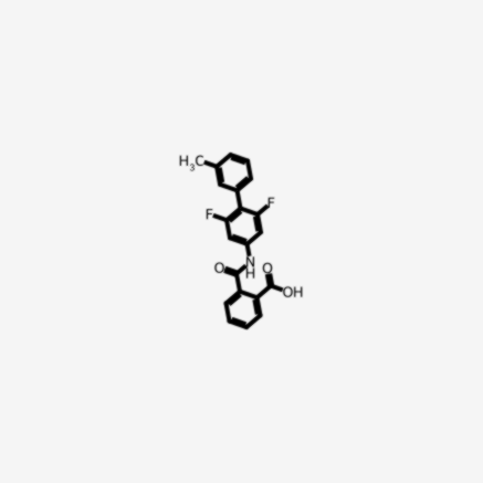 Cc1cccc(-c2c(F)cc(NC(=O)c3ccccc3C(=O)O)cc2F)c1